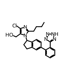 CCCCc1nc(Cl)c(CO)n1C1CCc2cc(-c3ccccc3-c3nn[nH]n3)ccc21